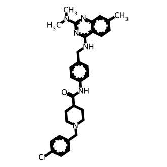 Cc1ccc2c(NCc3ccc(NC(=O)C4CCN(Cc5ccc(Cl)cc5)CC4)cc3)nc(N(C)C)nc2c1